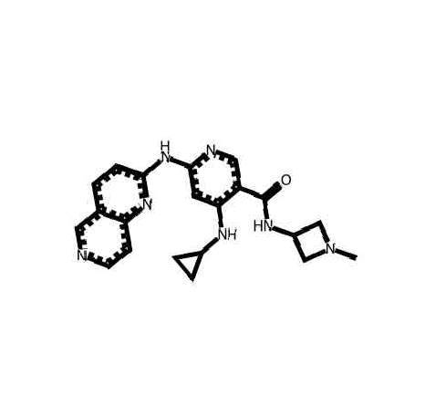 CN1CC(NC(=O)c2cnc(Nc3ccc4cnccc4n3)cc2NC2CC2)C1